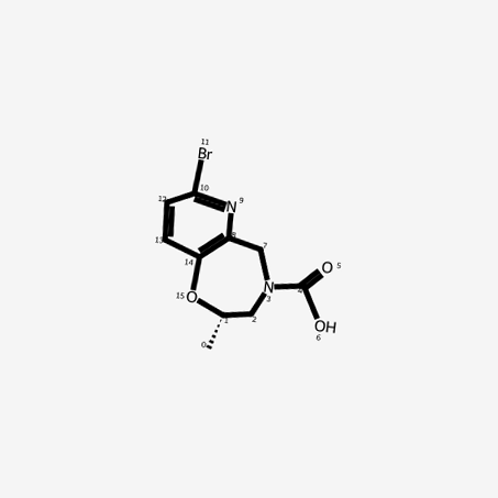 C[C@H]1CN(C(=O)O)Cc2nc(Br)ccc2O1